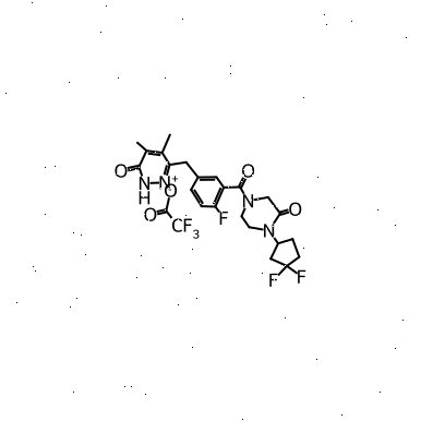 Cc1c(C)c(=O)[nH][n+](OC(=O)C(F)(F)F)c1Cc1ccc(F)c(C(=O)N2CCN(C3CCC(F)(F)C3)C(=O)C2)c1